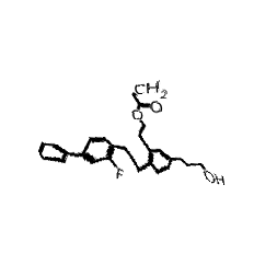 C=CC(=O)OCCc1cc(CCCO)ccc1CCc1ccc(-c2ccccc2)cc1F